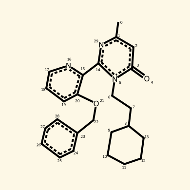 Cc1cc(=O)n(CCC2CCCCC2)c(-c2ncccc2OCc2ccccc2)n1